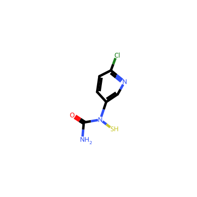 NC(=O)N(S)c1ccc(Cl)nc1